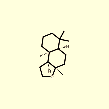 CC1(C)CCC[C@@]2(C)[C@@H]1CC[C@@]1(C)OCC[C@@H]21